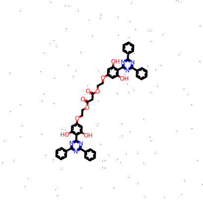 O=C(CC(=O)OCCOc1cc(O)c(-c2nc(-c3ccccc3)nc(-c3ccccc3)n2)c(O)c1)OCCOc1cc(O)c(-c2nc(-c3ccccc3)nc(-c3ccccc3)n2)c(O)c1